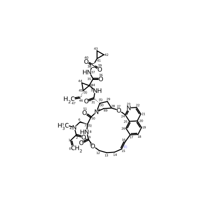 C=CC(=O)N(C)C[C@@H]1NC(=O)OCCC/C=C/c2ccc3ccnc(c3c2)OC2C[C@@H](C(=O)N[C@]3(C(=O)NS(=O)(=O)C4CC4)C[C@H]3C=C)N(C2)C1=O